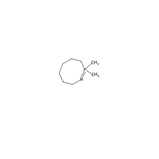 CP1(C)=NCCCCCC1